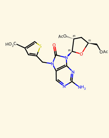 CC(=O)OC[C@@H]1C[C@@H](OC(C)=O)[C@H](n2c(=O)n(Cc3cc(C(=O)O)cs3)c3cnc(N)nc32)O1